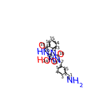 NCc1cccc(CNC(=O)N2c3ccccc3C(=O)NC2C(=O)O)c1